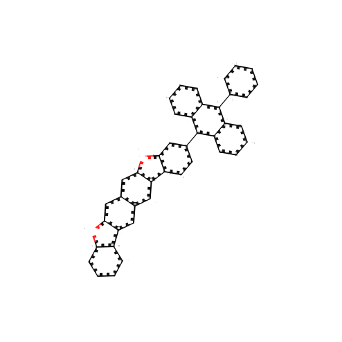 c1ccc(-c2c3ccccc3c(-c3ccc4c(c3)oc3cc5cc6oc7ccccc7c6cc5cc34)c3ccccc23)cc1